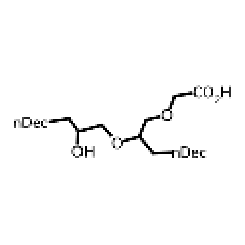 CCCCCCCCCCCC(O)COC(CCCCCCCCCCC)COCC(=O)O